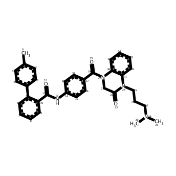 Cc1ccc(-c2ccccc2C(=O)Nc2ccc(C(=O)N3CC(=O)N(CCCN(C)C)c4ccccc43)cc2)cc1